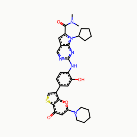 CN(C)C(=O)c1cc2cnc(Nc3ccc(-c4csc5c(=O)cc(N6CCCCC6)oc45)cc3O)nc2n1C1CCCC1